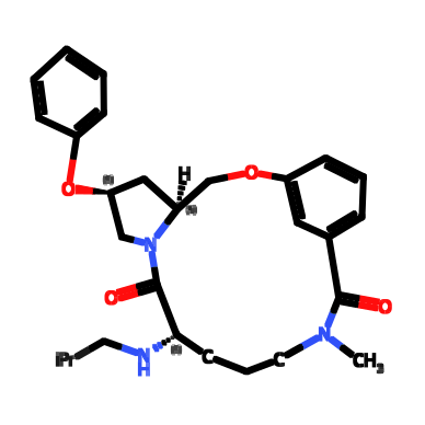 CC(C)CN[C@H]1CCCN(C)C(=O)c2cccc(c2)OC[C@@H]2C[C@H](Oc3ccccc3)CN2C1=O